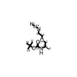 C[C@H](COCCN=[N+]=[N-])NC(=O)OC(C)(C)C